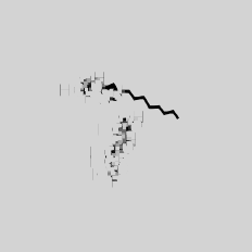 CCCCCCCCN1C=CN(C)C1.O=P(O)(O)F.O=P(O)(O)F.O=P(O)(O)F.O=P(O)(O)F